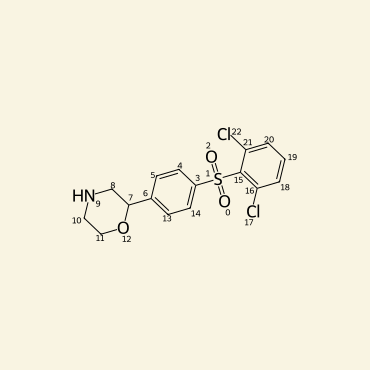 O=S(=O)(c1ccc(C2CNCCO2)cc1)c1c(Cl)cccc1Cl